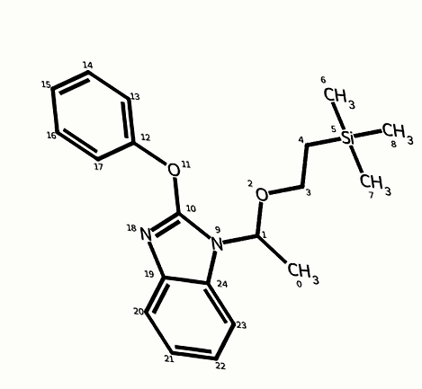 CC(OCC[Si](C)(C)C)n1c(Oc2ccccc2)nc2ccccc21